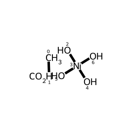 CC(=O)O.[OH][Ni]([OH])([OH])[OH]